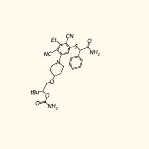 CCc1c(C#N)c(SC(C(N)=O)c2ccccc2)cc(N2CCC(OCC(OC(N)=O)C(C)(C)C)CC2)c1C#N